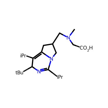 CC(C)C1=NC(C(C)(C)C)C(C(C)C)=C2CC(CN(C)CC(=O)O)CN12